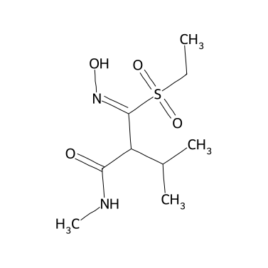 CCS(=O)(=O)/C(=N\O)C(C(=O)NC)C(C)C